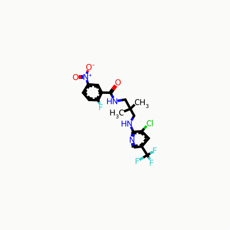 CC(C)(CNC(=O)c1cc([N+](=O)[O-])ccc1F)CNc1ncc(C(F)(F)F)cc1Cl